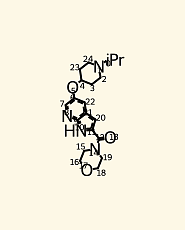 CC(C)N1CCC(Oc2cnc3[nH]c(C(=O)N4CCOCC4)cc3c2)CC1